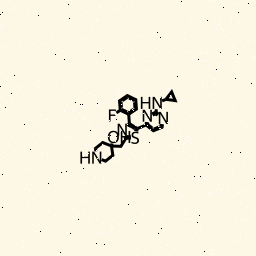 OC1(Cc2nc(-c3ccccc3F)c(-c3ccnc(NC4CC4)n3)s2)CCNCC1